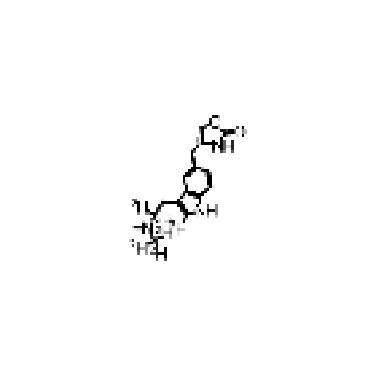 [2H]c1[nH]c2ccc(C[C@H]3COC(=O)N3)cc2c1CC([2H])([2H])N(C)C([2H])([2H])[2H]